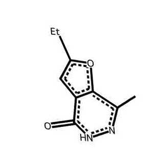 CCc1cc2c(=O)[nH]nc(C)c2o1